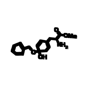 COC(=O)[C@@H](N)CC1=CCC(O)(OCc2ccccc2)C=C1